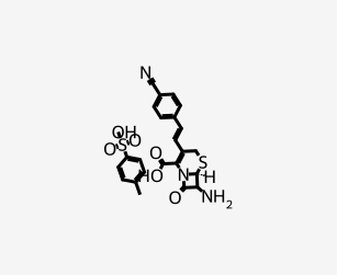 Cc1ccc(S(=O)(=O)O)cc1.N#Cc1ccc(C=CC2=C(C(=O)O)N3C(=O)C(N)[C@@H]3SC2)cc1